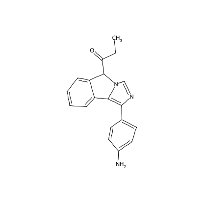 CCC(=O)C1c2ccccc2-c2c(-c3ccc(N)cc3)ncn21